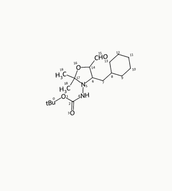 CC(C)(C)OC(=O)NN1C(CC2CCCCC2)C(C=O)OC1(C)C